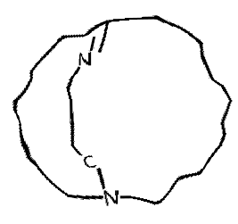 C1CCCN2CCCCCC(=NCCC2)CC1